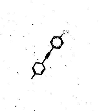 CC1=CCC(C#Cc2ccc(C#N)cc2)C=C1